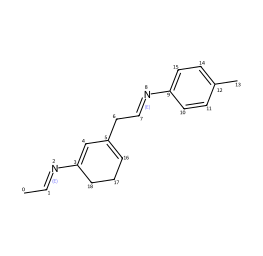 C/C=N/C1=CC(C/C=N/c2ccc(C)cc2)=CCC1